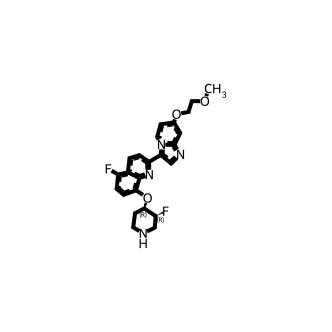 COCCOc1ccn2c(-c3ccc4c(F)ccc(O[C@@H]5CCNC[C@H]5F)c4n3)cnc2c1